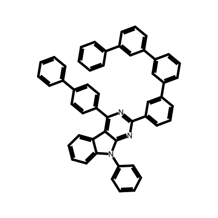 c1ccc(-c2ccc(-c3nc(-c4cccc(-c5cccc(-c6cccc(-c7ccccc7)c6)c5)c4)nc4c3c3ccccc3n4-c3ccccc3)cc2)cc1